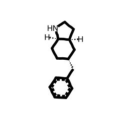 c1ccc(C[C@@H]2CC[C@H]3NCC[C@H]3C2)cc1